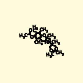 CC(=O)Oc1c(C)c(C)c2c(c1C)CCC(C)(CNC1(C)COC(C)(C)OC1)O2